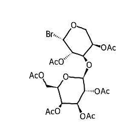 CC(=O)OC[C@H]1O[C@@H](O[C@H]2[C@H](OC(C)=O)[C@H](Br)OC[C@H]2OC(C)=O)[C@H](OC(C)=O)[C@@H](OC(C)=O)[C@H]1OC(C)=O